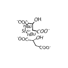 CCC[CH2][Sn+4][CH2]CCC.O=C([O-])CC(O)C(=O)[O-].O=C([O-])CC(O)C(=O)[O-]